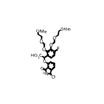 COCCOCOc1c(F)ccc(C(Oc2cccc3c2C(=O)NC3=O)C(=O)O)c1OCOCCOC